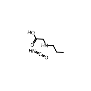 CCCNCC(=O)O.N=C=O